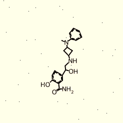 CN(c1ccccc1)C1CC(NCC(O)c2ccc(O)c(C(N)=O)c2)C1